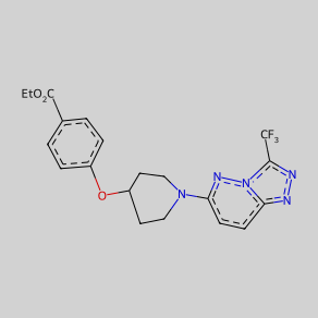 CCOC(=O)c1ccc(OC2CCN(c3ccc4nnc(C(F)(F)F)n4n3)CC2)cc1